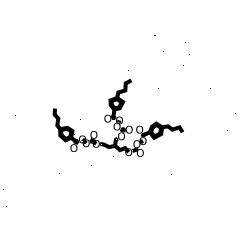 CCCCc1ccc(C(=O)OOC(=O)OCCC(CCOC(=O)OOC(=O)c2ccc(CCCC)cc2)COC(=O)OOC(=O)c2ccc(CCCC)cc2)cc1